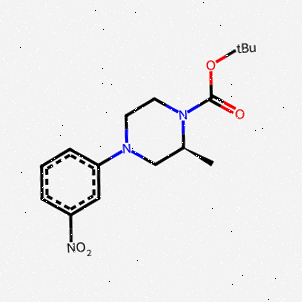 C[C@H]1CN(c2cccc([N+](=O)[O-])c2)CCN1C(=O)OC(C)(C)C